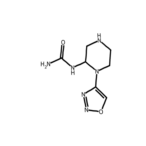 NC(=O)NC1CNCCN1c1conn1